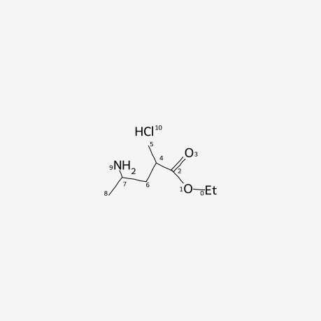 CCOC(=O)C(C)CC(C)N.Cl